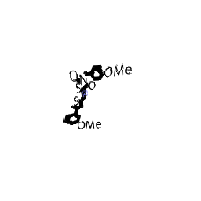 COC1=CCCC(c2csc(/C=C3\SC(=O)N(Cc4ccc(OC)cc4)C3=O)c2)=C1